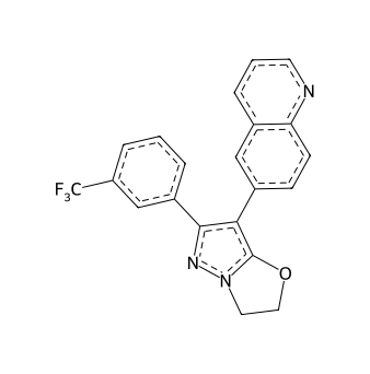 FC(F)(F)c1cccc(-c2nn3c(c2-c2ccc4ncccc4c2)OCC3)c1